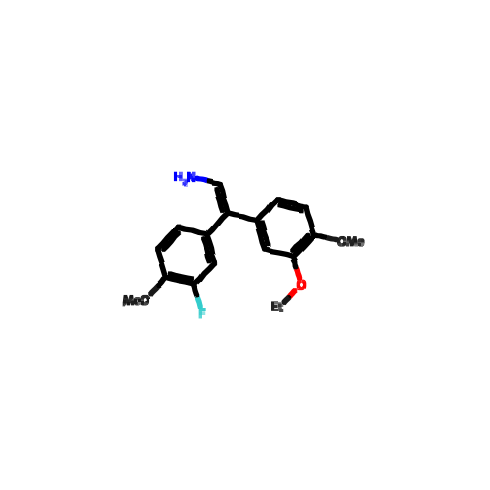 CCOc1cc(C(=CN)c2ccc(OC)c(F)c2)ccc1OC